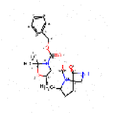 CC1CCC2(CNC2=O)N1C(=O)[C@@H]1[C@@H](C)OC(C)(C)N1C(=O)OCc1ccccc1